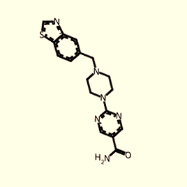 NC(=O)c1cnc(N2CCN(Cc3ccc4scnc4c3)CC2)nc1